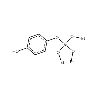 CCO[Si](OCC)(OCC)Oc1ccc(O)cc1